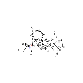 CC/C=C/c1cc(C)ccc1O[C@H]1C[C@H]2CC[C@@H](C1)N2c1ccc(C(F)(F)F)cn1